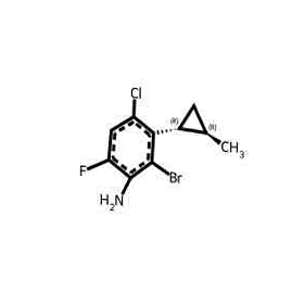 C[C@@H]1C[C@H]1c1c(Cl)cc(F)c(N)c1Br